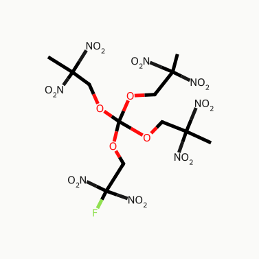 CC(COC(OCC(C)([N+](=O)[O-])[N+](=O)[O-])(OCC(C)([N+](=O)[O-])[N+](=O)[O-])OCC(F)([N+](=O)[O-])[N+](=O)[O-])([N+](=O)[O-])[N+](=O)[O-]